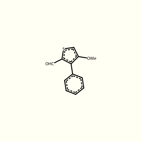 COc1csc(C=O)c1-c1ccccc1